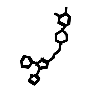 Cc1ccc(N2CCN(CCCc3cc(-c4cccs4)n(-c4ccccc4)n3)CC2)cc1C